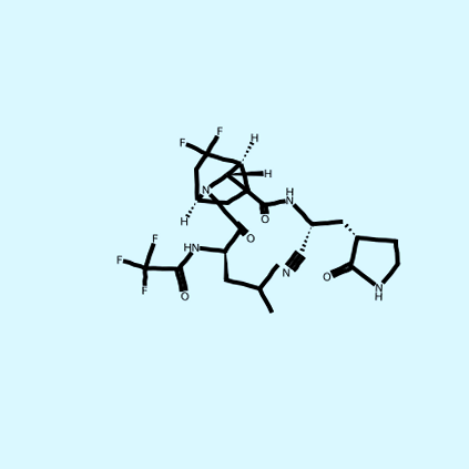 CC(C)C[C@@H](NC(=O)C(F)(F)F)C(=O)N1[C@H]2CC[C@@H]([C@@H]1C(=O)N[C@@H](C#N)C[C@@H]1CCNC1=O)C(F)(F)C2